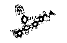 Cc1cc(C(=O)NC2CC2)ccc1-c1ccc(C[C@H](NC(=O)[C@H]2CC[C@H](CNC(=O)OC(C)(C)C)CC2)C(=O)Nc2ccc3cn[nH]c3c2)cc1